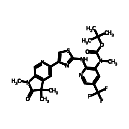 CN1C(=O)C(C)(C)c2cc(-c3csc(Nc4ncc(C(F)(F)F)cc4N(C)C(=O)OC(C)(C)C)n3)ncc21